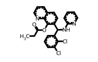 CCC(=O)Oc1c(C(Nc2ccccn2)c2cccc(Cl)c2Cl)ccc2cccnc12